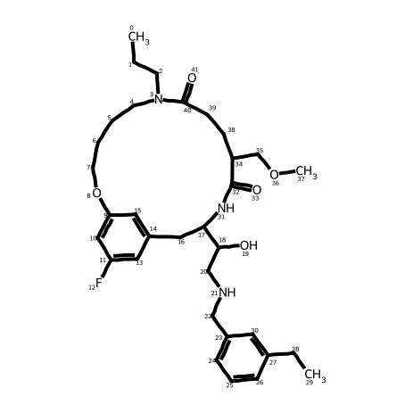 CCCN1CCCCOc2cc(F)cc(c2)CC(C(O)CNCc2cccc(CC)c2)NC(=O)C(COC)CCC1=O